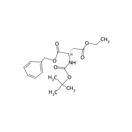 CCOC(=O)C[C@H](NC(=O)OC(C)(C)C)C(=O)OCc1ccccc1